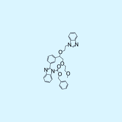 COCCOCC(OCCn1cnc2ccccc21)c1cccc(-c2nc3ccccc3n2C(=O)OCc2ccccc2)c1